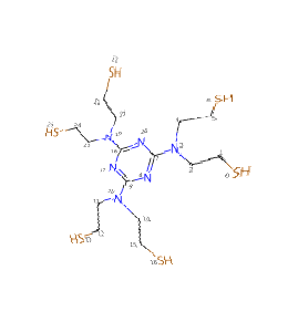 SCCN(CCS)c1nc(N(CCS)CCS)nc(N(CCS)CCS)n1